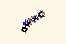 Cn1nc(C2=CCCCC2)cc1S(=O)(=O)N1CC2(CN(C3CCOCC3)C2)C1